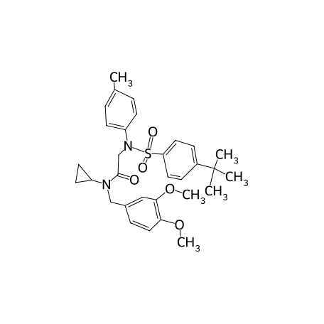 COc1ccc(CN(C(=O)CN(c2ccc(C)cc2)S(=O)(=O)c2ccc(C(C)(C)C)cc2)C2CC2)cc1OC